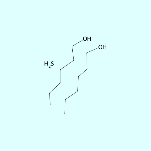 CCCCCCO.CCCCCCO.S